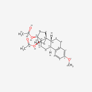 COc1ccc2c(c1)CC[C@@H]1[C@@H]2CC[C@@]2(C)[C@]13CC[C@@]2(OC(C)=O)[C@H](OC(C)=O)C3